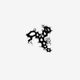 CCCC1CCCC(=O)c2cc3c(cc21)c1cc2c(c4c5cc6c(cc5n3c14)C(=O)C1CCC6CC1)C(C)(C)c1cc3c(cc1-2)oc1ccccc13